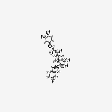 O=C(COc1ccc(Cl)c(F)c1)NC12CCC(C(O)NCc3cccc(F)c3)(CC1)C(O)C2